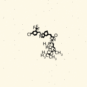 CN(CC(O)CN(C)C1=NC(=O)C(=Cc2ccc3c(cnn3Cc3ccc(Cl)cc3C(F)(F)F)c2)S1)C(=O)OC(C)(C)C